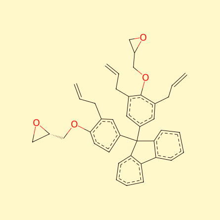 C=CCc1cc(C2(c3cc(CC=C)c(OCC4CO4)c(CC=C)c3)c3ccccc3-c3ccccc32)ccc1OC[C@@H]1CO1